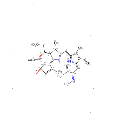 C=Cc1c(C)/c(=C/C2=NC(=C3\C(NC)=CC(=O)[C@@H]3C(=O)OC)/[C@@H](CCC(=O)O)[C@@H]2C)[nH]/c1=C\C(=N\C)C(=C)C